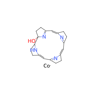 OC12CCC(=N1)C=C1CCC(=N1)C=C1CCC(=N1)C=C1CCC2N1.[Co]